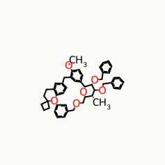 COc1ccc(C2OC(COCc3ccccc3)[C@@H](C)C(OCc3ccccc3)[C@H]2OCc2ccccc2)cc1Cc1ccc2c(c1)CCC1(CCC1)O2